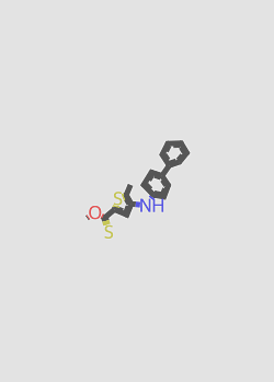 COC(=S)c1cc(Nc2ccc(-c3ccccc3)cc2)c(C)s1